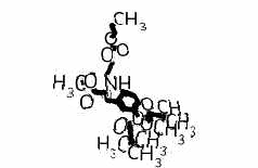 CCCOC(=O)OCCN[C@@H](Cc1ccc(OC(=O)C(C)(C)C)c(OC(=O)C(C)(C)C)c1)C(=O)OC